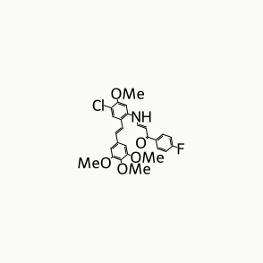 COc1cc(NC=CC(=O)c2ccc(F)cc2)c(C=Cc2cc(OC)c(OC)c(OC)c2)cc1Cl